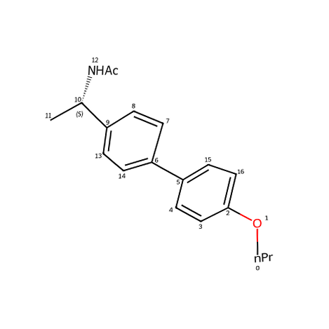 CCCOc1ccc(-c2ccc([C@H](C)NC(C)=O)cc2)cc1